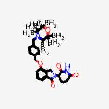 BC1N(Cc2ccc(COc3cccc4c3CN(C3CCC(=O)NC3=O)C4=O)cc2)C(B)(B)C(B)(B)OC1(B)B